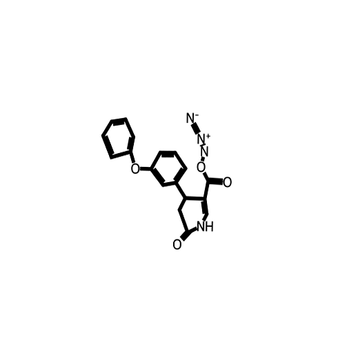 [N-]=[N+]=NOC(=O)C1=CNC(=O)CC1c1cccc(Oc2ccccc2)c1